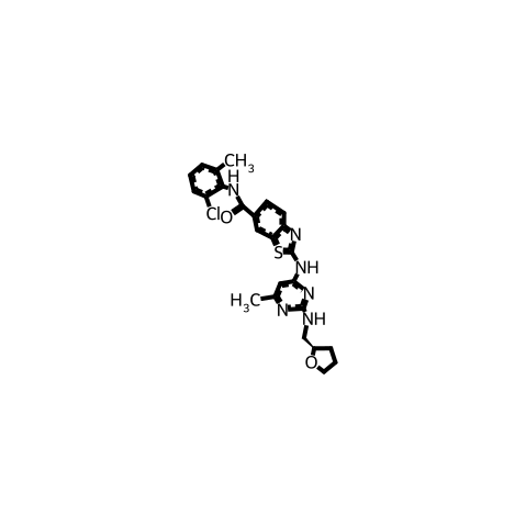 Cc1cc(Nc2nc3ccc(C(=O)Nc4c(C)cccc4Cl)cc3s2)nc(NC[C@H]2CCCO2)n1